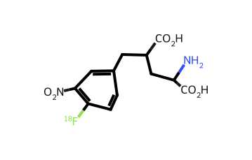 NC(CC(Cc1ccc([18F])c([N+](=O)[O-])c1)C(=O)O)C(=O)O